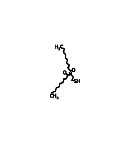 CCCCCCCC=CC(=O)N(CCS)C(=O)C=CCCCCCCC